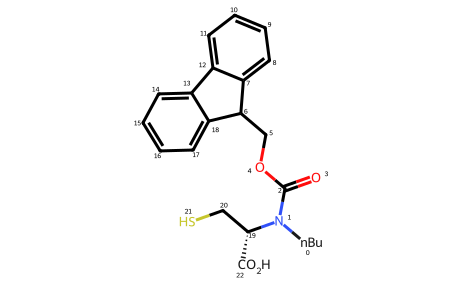 CCCCN(C(=O)OCC1c2ccccc2-c2ccccc21)[C@@H](CS)C(=O)O